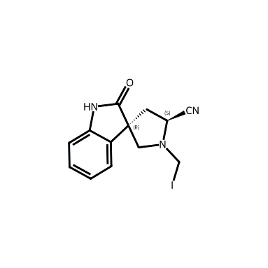 N#C[C@@H]1C[C@@]2(CN1CI)C(=O)Nc1ccccc12